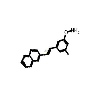 Cc1cc(/C=C/c2ccc3ccccc3c2)cc(ON)c1